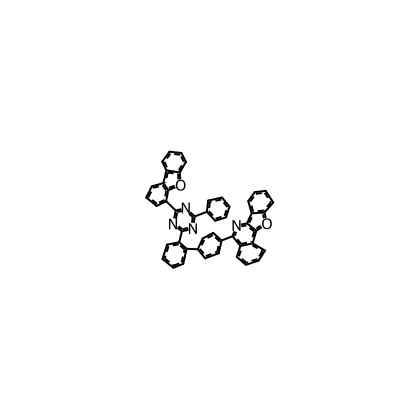 c1ccc(-c2nc(-c3ccccc3-c3ccc(-c4nc5c6ccccc6oc5c5ccccc45)cc3)nc(-c3cccc4c3oc3ccccc34)n2)cc1